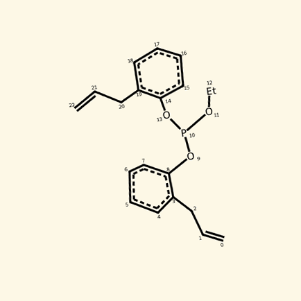 C=CCc1ccccc1OP(OCC)Oc1ccccc1CC=C